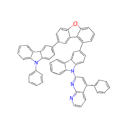 c1ccc(-c2cc(-n3c4ccccc4c4cc(-c5cccc6oc7ccc(-c8ccc9c(c8)c8ccccc8n9-c8ccccc8)cc7c56)ccc43)nc3ncccc23)cc1